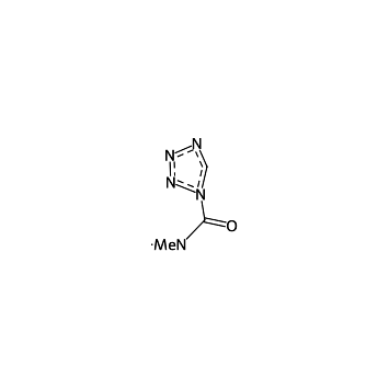 C[N]C(=O)n1cnnn1